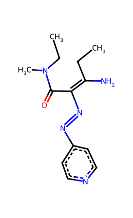 CC/C(N)=C(/N=N/c1ccncc1)C(=O)N(C)CC